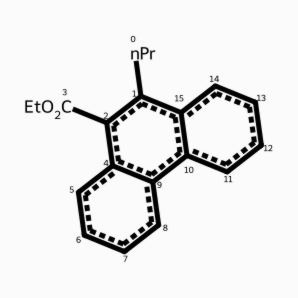 CCCc1c(C(=O)OCC)c2ccccc2c2ccccc12